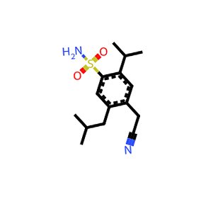 CC(C)Cc1cc(S(N)(=O)=O)c(C(C)C)cc1CC#N